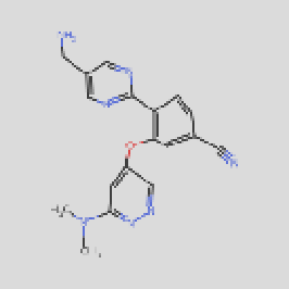 CN(C)c1cc(Oc2cc(C#N)ccc2-c2ncc(CN)cn2)cnn1